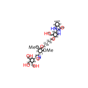 COc1cc(C2=NOC(c3cc(CO)c(CO)c(CO)c3)C2)cc(OC)c1OCCCCCCOc1ccc(C2NC(=O)c3ccccc3N2)cc1CO